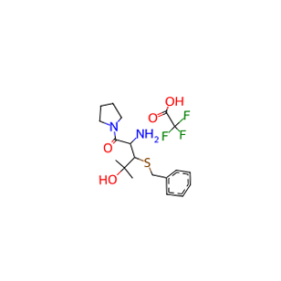 CC(C)(O)C(SCc1ccccc1)C(N)C(=O)N1CCCC1.O=C(O)C(F)(F)F